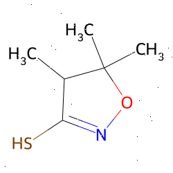 CC1C(S)=NOC1(C)C